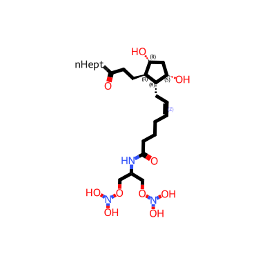 CCCCCCCC(=O)CC[C@@H]1[C@@H](C/C=C\CCCC(=O)NC(CON(O)O)CON(O)O)[C@@H](O)C[C@H]1O